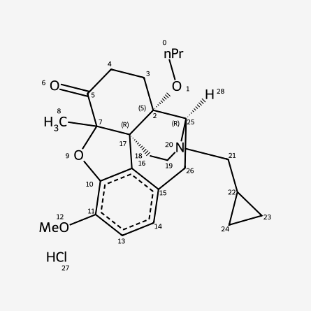 CCCO[C@@]12CCC(=O)C3(C)Oc4c(OC)ccc5c4[C@@]31CCN(CC1CC1)[C@@H]2C5.Cl